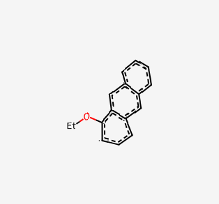 CCOc1[c]ccc2cc3ccccc3cc12